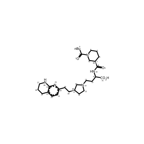 CCCCC(=O)N1CCC[C@@H](C(=O)NC(CCN2CC[C@@H](CCc3ccc4c(n3)NCCC4)C2)C(=O)O)C1